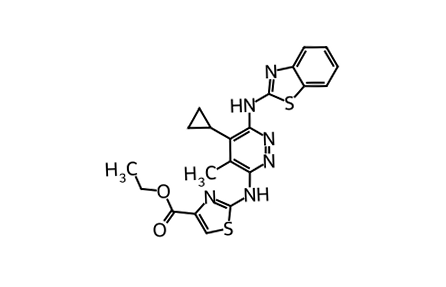 CCOC(=O)c1csc(Nc2nnc(Nc3nc4ccccc4s3)c(C3CC3)c2C)n1